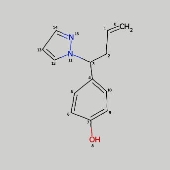 C=CCC(c1ccc(O)cc1)n1cccn1